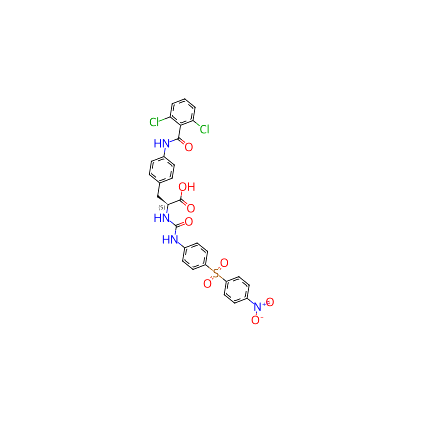 O=C(Nc1ccc(S(=O)(=O)c2ccc([N+](=O)[O-])cc2)cc1)N[C@@H](Cc1ccc(NC(=O)c2c(Cl)cccc2Cl)cc1)C(=O)O